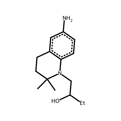 CCC(O)CN1c2ccc(N)cc2CCC1(C)C